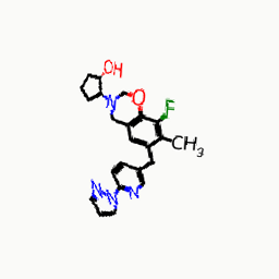 Cc1c(Cc2ccc(-n3cccn3)nc2)cc2c(c1F)OCN([C@H]1CCC[C@@H]1O)C2